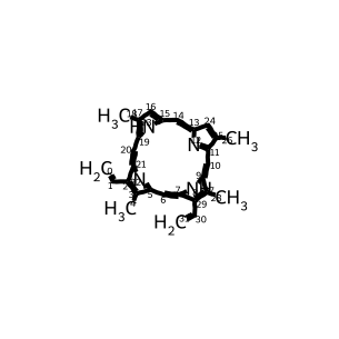 C=CC1=C(C)c2cc3[nH]c(cc4nc(cc5cc(C)c(cc1n2)[nH]5)C=C4C)c(C)c3C=C